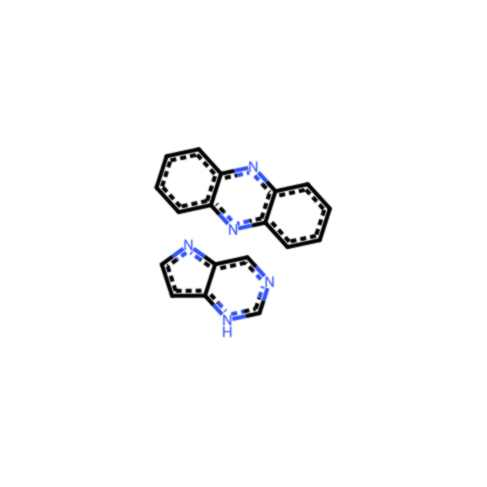 c1cc2[nH]cncc-2n1.c1ccc2nc3ccccc3nc2c1